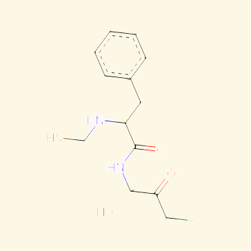 C[C@H](NC(=O)C(Cc1ccccc1)NCS)C(=O)CF